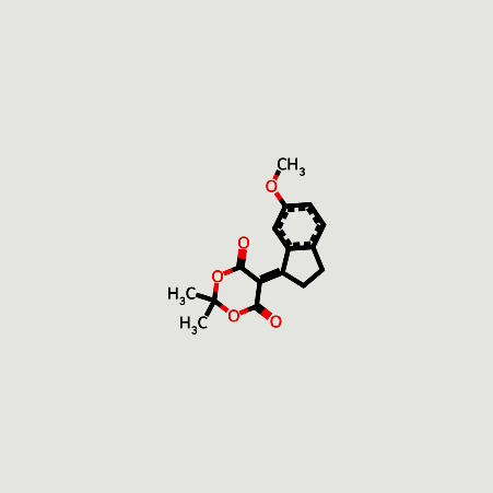 COc1ccc2c(c1)C(=C1C(=O)OC(C)(C)OC1=O)CC2